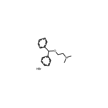 Br.CN(C)CCOC(c1ccccc1)c1ccccc1